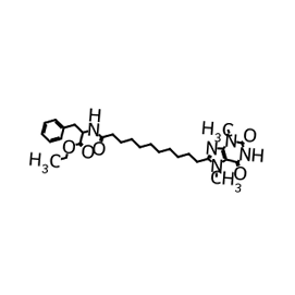 CCOC(=O)C(Cc1ccccc1)NC(=O)CCCCCCCCCCc1nc2c(c(=O)[nH]c(=O)n2C)n1C